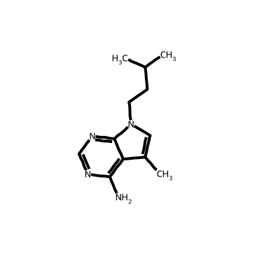 Cc1cn(CCC(C)C)c2ncnc(N)c12